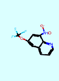 O=[N+]([O-])c1cc(OC(F)(F)F)cc2cccnc12